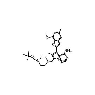 COc1cc(C)cc2cc(-c3c(C)c(CN4CCN(COC(C)(C)C)CC4)n4ncnc(N)c34)sc12